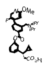 COc1cc(-c2ccc(C(=O)Oc3cccc([C@@H](CC(=O)O)C4CC4)c3)cc2CN(C(C)C)C(C)C)c(F)cn1